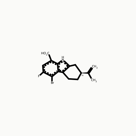 C=C(C)[C@H]1CCc2c([nH]c3c(C(=O)O)cc(F)c(Br)c23)C1